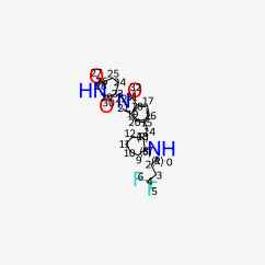 C[C@H](CCC(F)F)N[C@H]1CCCC[C@@H]1Cc1ccc2c(c1)CN(C1CCC(=O)NC1=O)C2=O